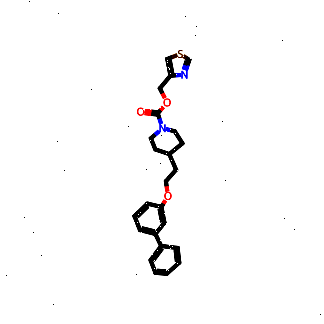 O=C(OCc1cscn1)N1CCC(CCOc2cccc(-c3ccccc3)c2)CC1